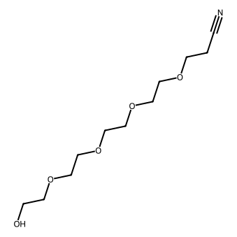 N#CCCOCCOCCOCCOCCO